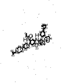 C=CC(=O)Nc1cc(Nc2cc(N3OCC[C@H]3c3cccc(-c4cccs4)c3)ncn2)c(OC)cc1N1CCC(N2CCN(C3CC3)CC2)CC1